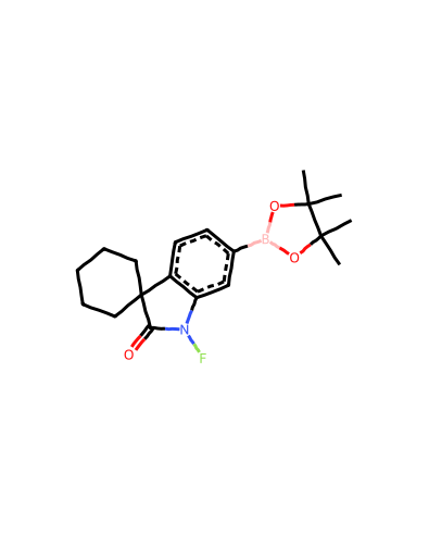 CC1(C)OB(c2ccc3c(c2)N(F)C(=O)C32CCCCC2)OC1(C)C